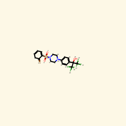 O=S(=O)(C1=CC=CCC1=S)N1CCN(c2ccc(C(O)(C(F)(F)F)C(F)(F)F)cc2)CC1